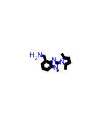 Cc1ccc(C)n1-c1nc2c(CN)cccc2n1C